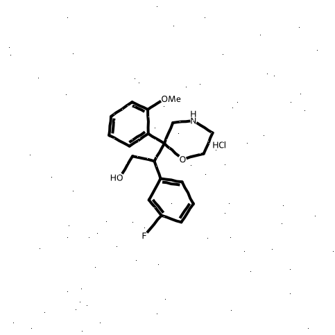 COc1ccccc1C1(C(CO)c2cccc(F)c2)CNCCO1.Cl